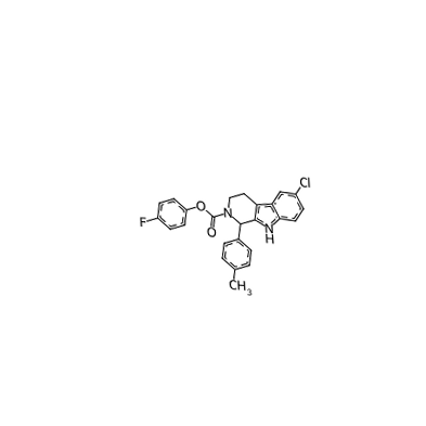 Cc1ccc(C2c3[nH]c4ccc(Cl)cc4c3CCN2C(=O)Oc2ccc(F)cc2)cc1